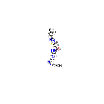 C#CCCC1(CCN2CC[C@@H](CNC(=O)c3ccc4c(c3)sc3nc(-c5ccc(C)cc5)cn34)C2)N=N1